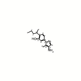 CCCC(C)c1ccc(-n2ncc(N)c2C)cc1O